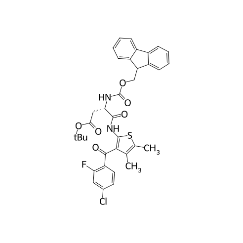 Cc1sc(NC(=O)[C@H](CC(=O)OC(C)(C)C)NC(=O)OCC2c3ccccc3-c3ccccc32)c(C(=O)c2ccc(Cl)cc2F)c1C